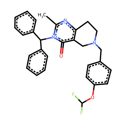 Cc1nc2c(c(=O)n1C(c1ccccc1)c1ccccc1)CN(Cc1ccc(OC(F)F)cc1)CC2